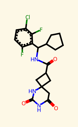 O=C1CC2(CC(C(=O)NC(c3c(F)ccc(Cl)c3F)C3CCCC3)C2)NC(=O)N1